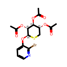 CC(=O)O[C@@H]1[C@@H](OC(C)=O)[C@H](OC(C)=O)CS[C@H]1Oc1cccnc1Br